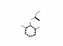 CC(C)(C)c1cccc(Cl)c1NC(=O)CBr